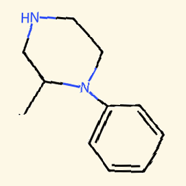 [CH2]C1CNCCN1c1ccccc1